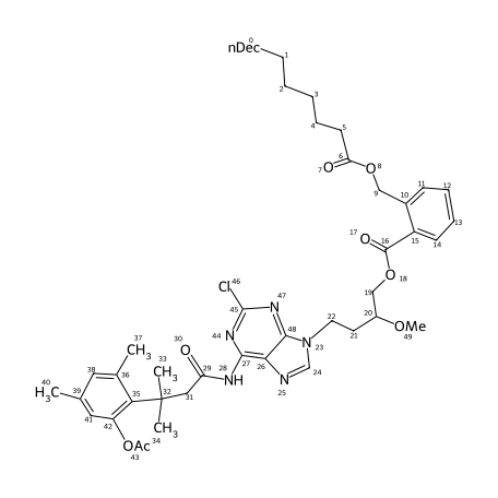 CCCCCCCCCCCCCCCC(=O)OCc1ccccc1C(=O)OCC(CCn1cnc2c(NC(=O)CC(C)(C)c3c(C)cc(C)cc3OC(C)=O)nc(Cl)nc21)OC